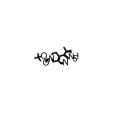 Cc1cn(SI)c2ncc3c(c12)CCN(C(=O)OC(C)(C)C)C3